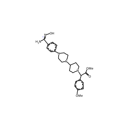 COC(=O)C(c1ccc(OC)cc1)N1CCC(N2CCN(c3ccc(/C(N)=N\O)cc3)CC2)CC1